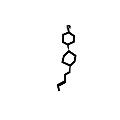 C/C=C/CC[C@H]1CC[C@H](C2CCC(CC)CC2)CC1